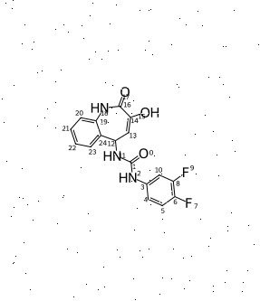 O=C(Nc1ccc(F)c(F)c1)NC1C=C(O)C(=O)Nc2ccccc21